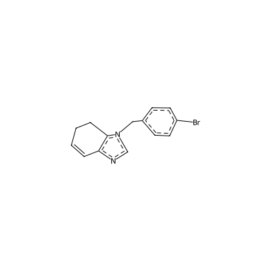 Brc1ccc(Cn2cnc3c2CCC=C3)cc1